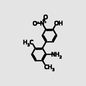 Cc1ccc(C)c(-c2ccc(O)c([N+](=O)[O-])c2)c1N